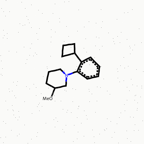 COC1CCCN(c2cc[c]cc2C2CCC2)C1